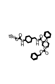 CC(C)(C)OC(=O)NC1CCC(CNC(=O)[C@@H]2CN(C(=O)OCc3ccccc3)CCN2c2ccccc2)CC1